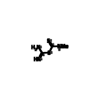 CNC(=S)SC(=N)N